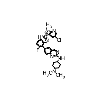 Cc1ncc(Cl)cc1S(=O)(=O)Nc1ccc(F)c(-c2ccc3nc(NC4CCC(N(C)C)CC4)ncc3c2)c1F